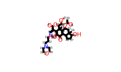 COCC1OC(=O)/C(=C/N(C)CCCN2CCOCC2)C2=C(O)C(=O)C3=C(C(OC(C)=O)CC4(C)C(O)CCC34)C21C